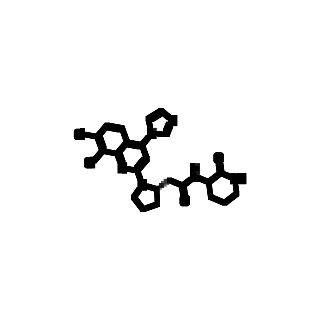 O=C(C[C@@H]1CCCN1c1cc(-n2ccnc2)c2ccc(Cl)c(Cl)c2n1)NC1CCCNC1=O